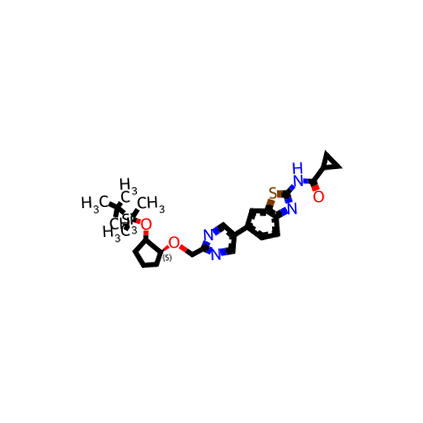 CC(C)(C)[Si](C)(C)OC1CCC[C@@H]1OCc1ncc(-c2ccc3nc(NC(=O)C4CC4)sc3c2)cn1